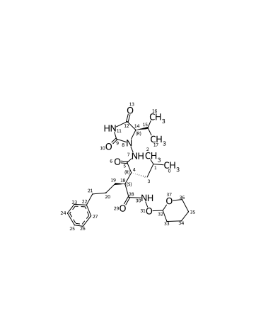 CC(C)C[C@@H](C(=O)NN1C(=O)NC(=O)[C@H]1C(C)C)[C@H](CCCc1ccccc1)C(=O)NOC1CCCCO1